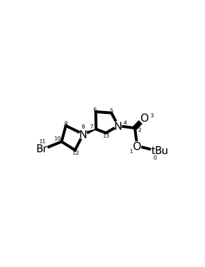 CC(C)(C)OC(=O)N1CC[C@H](N2CC(Br)C2)C1